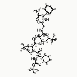 CN(C)C(=O)[C@@H](NC(=O)CNC(=O)C(=O)C(CCC(F)(F)F)NC(=O)[C@@H]1C2C(CN1C(=O)[C@@H](NC(=O)OC(C)(C)C)C1CCCCC1)C2(C)C)c1ccccc1